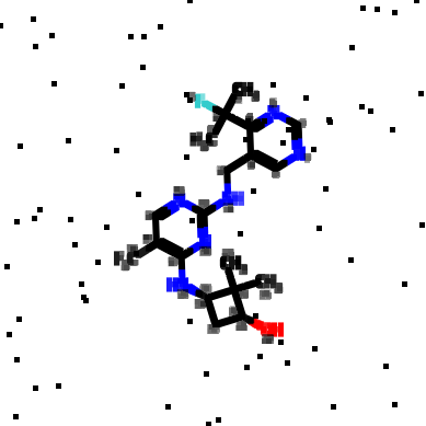 CC(C)(F)c1ncncc1CNc1ncc(C(F)(F)F)c(N[C@@H]2C[C@H](O)C2(C)C)n1